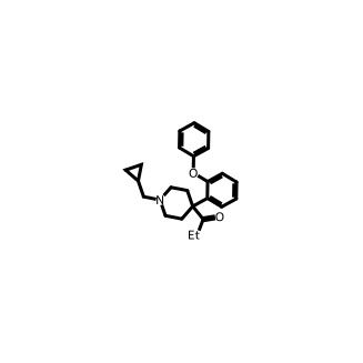 CCC(=O)C1(c2ccccc2Oc2ccccc2)CCN(CC2CC2)CC1